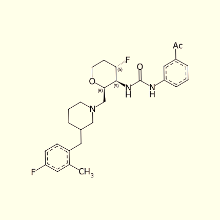 CC(=O)c1cccc(NC(=O)N[C@@H]2[C@@H](F)CCO[C@@H]2CN2CCCC(Cc3ccc(F)cc3C)C2)c1